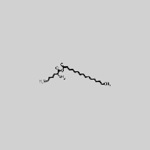 CCCCCCCCCCCCCCCC(=O)OC(=O)[C@@H](N)CCCCN